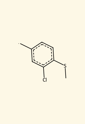 [CH2]c1ccc(SC)c(Cl)c1